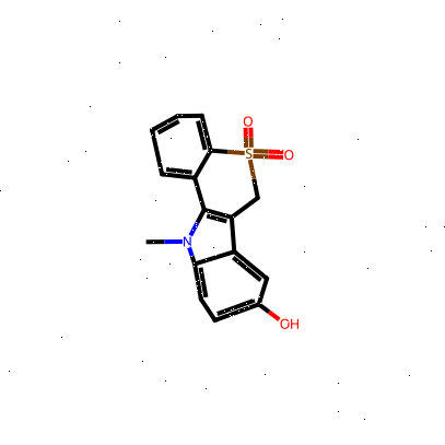 Cn1c2c(c3cc(O)ccc31)CS(=O)(=O)c1ccccc1-2